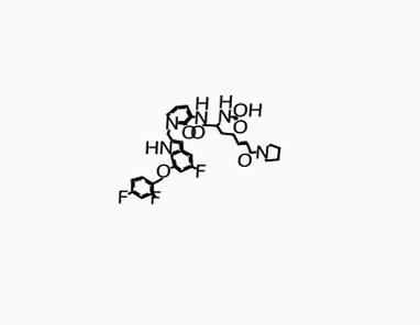 O=C(O)NC(CC/C=C/C(=O)N1CCCC1)C(=O)Nc1cccn(Cc2cc3cc(F)cc(OCc4ccc(F)cc4F)c3[nH]2)c1=O